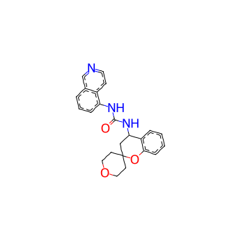 O=C(Nc1cccc2cnccc12)NC1CC2(CCOCC2)Oc2ccccc21